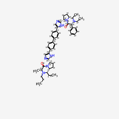 CCCN(CCC)[C@@H](C)C(=O)N1CCC[C@H]1c1ncc(-c2ccc(-c3ccc(-c4cnc([C@@H]5CCCN5C(=O)[C@@H](c5ccccc5)N(CC)CC)[nH]4)cc3)cc2)[nH]1